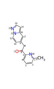 Cc1cccc(C(=O)Cc2ccn3nccc3c2)n1